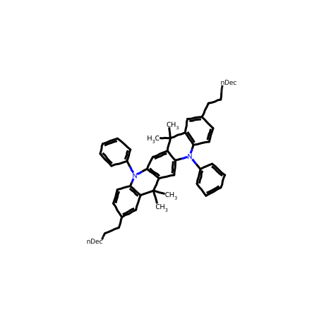 CCCCCCCCCCCCc1ccc2c(c1)C(C)(C)c1cc3c(cc1N2c1ccccc1)C(C)(C)c1cc(CCCCCCCCCCCC)ccc1N3c1ccccc1